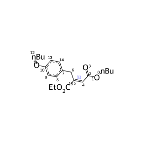 CCCCOC(=O)/C=C(\Cc1ccc(OCCCC)cc1)C(=O)OCC